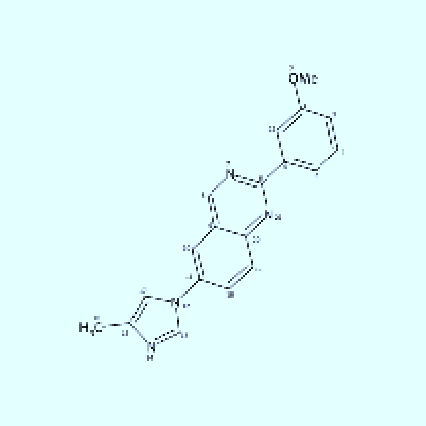 COc1cccc(-c2ncc3cc(-n4cnc(C)c4)ccc3n2)c1